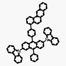 c1ccc(-c2c3ccc(-n4c5ccccc5c5ccccc54)cc3c(-c3ccc(-c4cccc5c4ccc4cc6ccccc6cc45)cc3)c3ccc(-n4c5ccccc5c5ccccc54)cc23)cc1